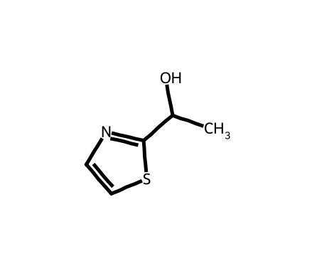 CC(O)c1nccs1